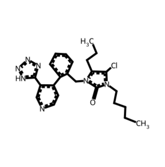 CCCCCn1c(Cl)c(CCC)n(Cc2ccccc2-c2ccncc2-c2nnn[nH]2)c1=O